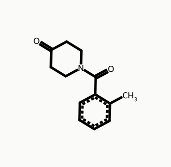 Cc1ccccc1C(=O)N1CCC(=O)CC1